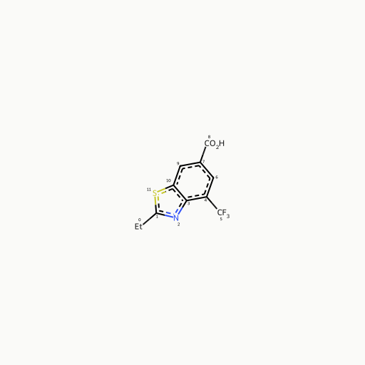 CCc1nc2c(C(F)(F)F)cc(C(=O)O)cc2s1